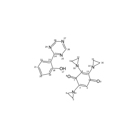 O=C1C=C(N2CC2)C(=O)C(N2CC2)=C1N1CC1.Oc1ccccc1-c1ncncn1